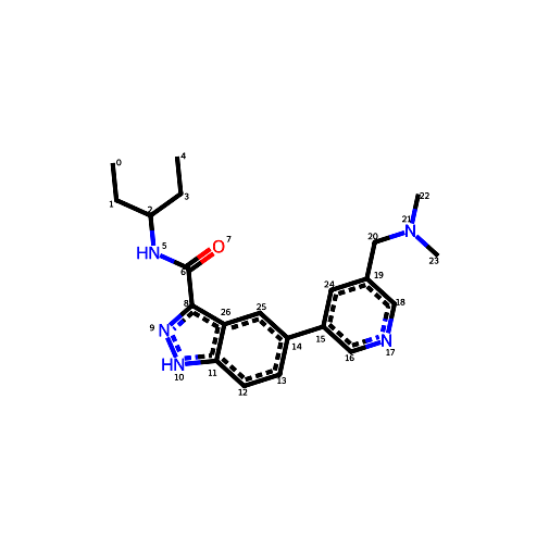 CCC(CC)NC(=O)c1n[nH]c2ccc(-c3cncc(CN(C)C)c3)cc12